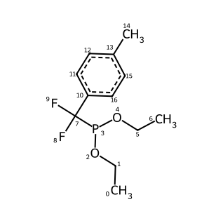 CCOP(OCC)C(F)(F)c1ccc(C)cc1